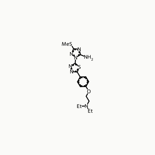 CCN(CC)CCOc1ccc(-c2nnc(-n3nc(SC)nc3N)s2)cc1